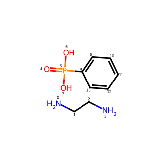 NCCN.O=P(O)(O)c1ccccc1